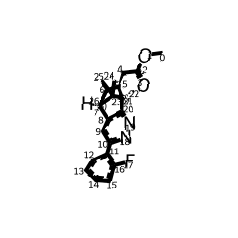 COC(=O)C[C@@H]1C[C@@H]2c3cc(-c4ccccc4F)nnc3[C@@]1(C)C2(C)C